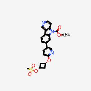 CC(C)(C)OC(=O)n1c2ccncc2c2ccc(-c3ccc(O[C@H]4C[C@@H](OS(C)(=O)=O)C4)nc3)cc21